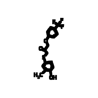 Cc1cc(SCC(=O)COc2ccc(C(F)(F)F)cc2)ccc1O